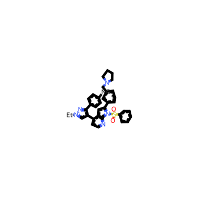 CCn1cc(-c2ccnc3c2cc(-c2cccc(CN4CCCC4)c2)n3S(=O)(=O)c2ccccc2)c(-c2ccc([N+](=O)[O-])cc2)n1